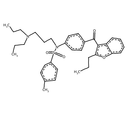 CCCc1oc2ccccc2c1C(=O)c1ccc(N(CCCN(CCC)CCC)S(=O)(=O)c2ccc(C)cc2)cc1